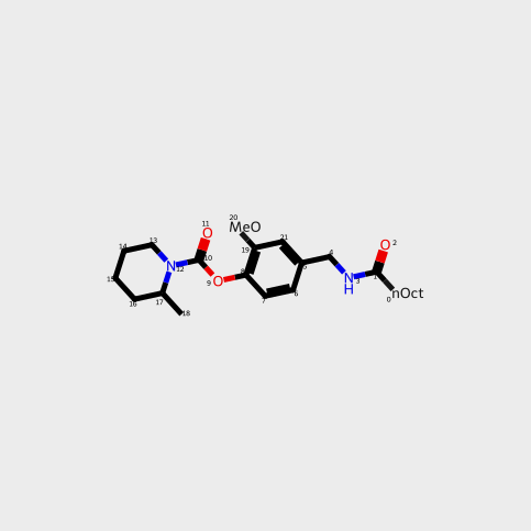 CCCCCCCCC(=O)NCc1ccc(OC(=O)N2CCCCC2C)c(OC)c1